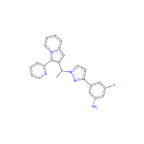 CC(c1cc2ccccn2c1-c1ccccn1)n1ccc(-c2cc(N)cc(F)c2)n1